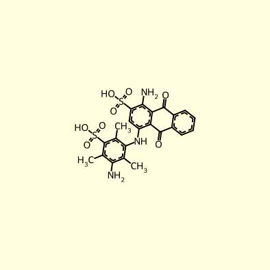 Cc1c(N)c(C)c(S(=O)(=O)O)c(C)c1Nc1cc(S(=O)(=O)O)c(N)c2c1C(=O)c1ccccc1C2=O